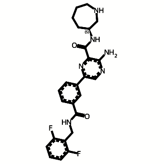 Nc1ncc(-c2cccc(C(=O)NCc3c(F)cccc3F)c2)nc1C(=O)N[C@H]1CCCCNC1